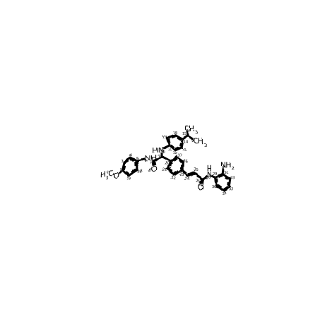 COc1ccc(NC(=O)C(Nc2ccc(C(C)C)cc2)c2ccc(/C=C/C(=O)Nc3ccccc3N)cc2)cc1